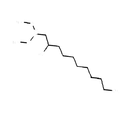 CCCCCCCCCC(S)C[SiH](OC)OC